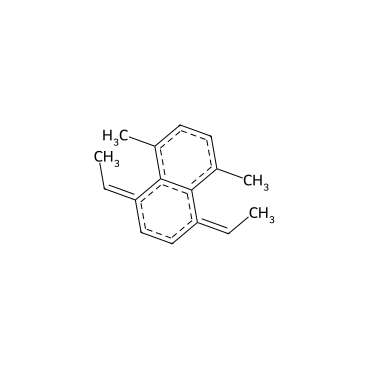 C/C=c1/cc/c(=C/C)c2c(C)ccc(C)c12